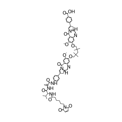 COc1cc2c(cc1OCC(C)(C)CC(C)(C)COc1cc3c(cc1OC)C(=O)N1C=C(c4ccc(C(=O)O)cc4)C[C@H]1C=N3)N=C[C@@H]1CC(c3ccc(NC(=O)[C@H](C)NC(=O)C(NC(=O)CCCCCN4C(=O)C=CC4=O)C(C)C)cc3)=CN1C2=O